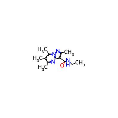 CCNC(=O)c1c(C)nn2c(C)c(C)c(C)nc12